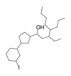 CCCCC(CCC)C(CC)CC(O)C1CCC(C2CCCC(I)C2)C1